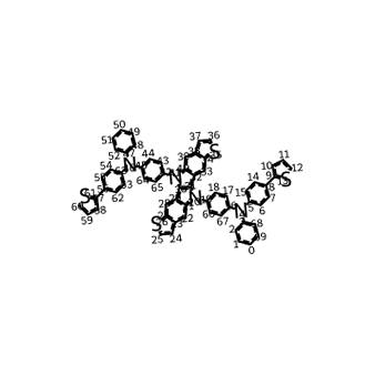 c1ccc(N(c2ccc(-c3cccs3)cc2)c2ccc(-n3c4cc5ccsc5cc4c4c3c3cc5sccc5cc3n4-c3ccc(N(c4ccccc4)c4ccc(-c5cccs5)cc4)cc3)cc2)cc1